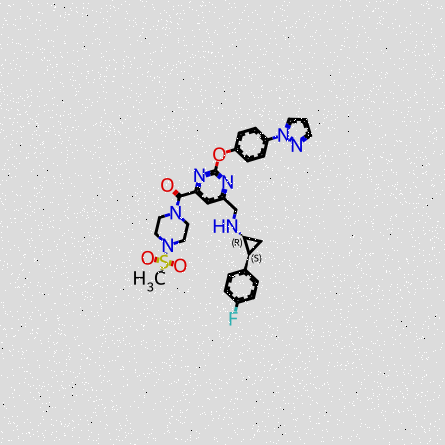 CS(=O)(=O)N1CCN(C(=O)c2cc(CN[C@@H]3C[C@H]3c3ccc(F)cc3)nc(Oc3ccc(-n4cccn4)cc3)n2)CC1